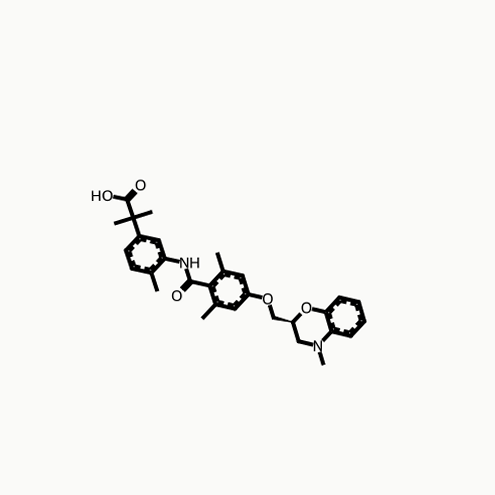 Cc1ccc(C(C)(C)C(=O)O)cc1NC(=O)c1c(C)cc(OC[C@@H]2CN(C)c3ccccc3O2)cc1C